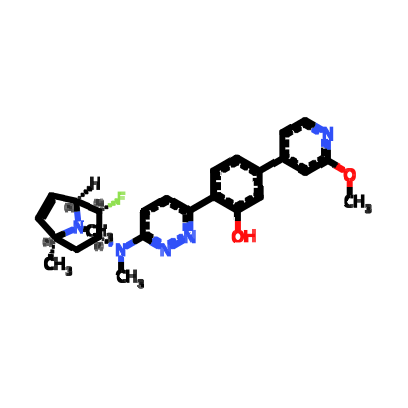 COc1cc(-c2ccc(-c3ccc(N(C)[C@@H]4C[C@@]5(C)C=C[C@@H]([C@@H]4F)N5C)nn3)c(O)c2)ccn1